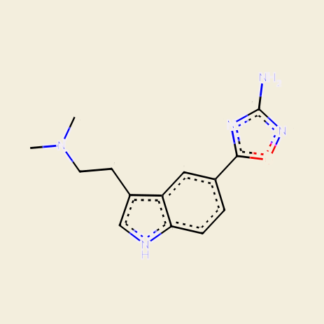 CN(C)CCc1c[nH]c2ccc(-c3nc(N)no3)cc12